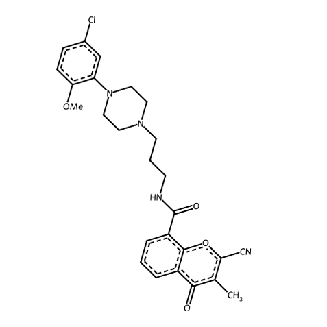 COc1ccc(Cl)cc1N1CCN(CCCNC(=O)c2cccc3c(=O)c(C)c(C#N)oc23)CC1